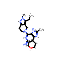 CCc1c2c(nn1C)CCN(/C(=N/C=N)c1[nH]c(C)nc1C1CCOCC1)C2